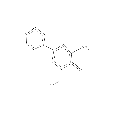 CC(C)Cn1cc(-c2ccncc2)cc(N)c1=O